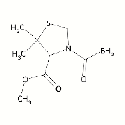 BC(=O)N1CSC(C)(C)C1C(=O)OC